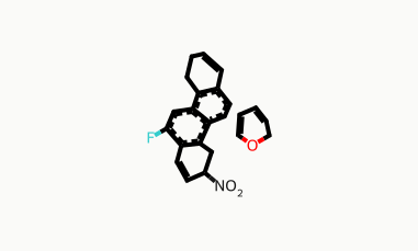 C1=CCOC=C1.O=[N+]([O-])C1C=Cc2c(F)cc3c4c(ccc3c2C1)C=CCC4